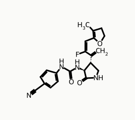 C=C(/C(F)=C\C1=C(C)CCO1)[C@@H]1CNC(=O)[C@H]1NC(=O)Nc1ccc(C#N)cc1